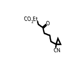 CCOC(=O)CC(=O)CCCC1(C#N)CC1